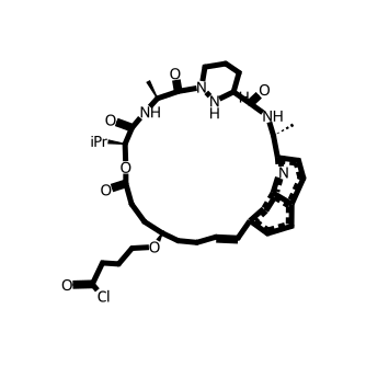 CC(C)[C@@H]1OC(=O)CC[C@H](OCCCC(=O)Cl)CC/C=C/c2ccc3ccc(nc3c2)[C@@H](C)NC(=O)[C@@H]2CCCN(N2)C(=O)[C@H](C)NC1=O